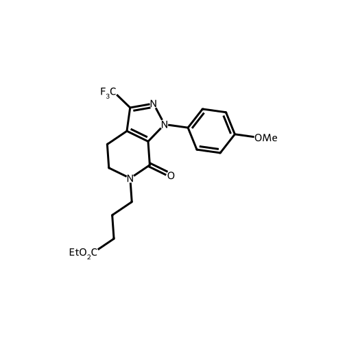 CCOC(=O)CCCN1CCc2c(C(F)(F)F)nn(-c3ccc(OC)cc3)c2C1=O